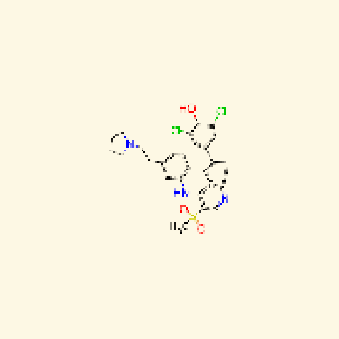 CS(=O)(=O)c1cnc2ccc(-c3cc(Cl)c(O)c(Cl)c3)cc2c1Nc1cccc(CCN2CCCC2)c1